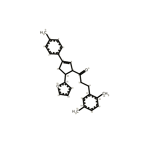 Cc1ccc(C2=CC(C(=O)CCc3cc(C)ccc3C)C(c3ccco3)C2)cc1